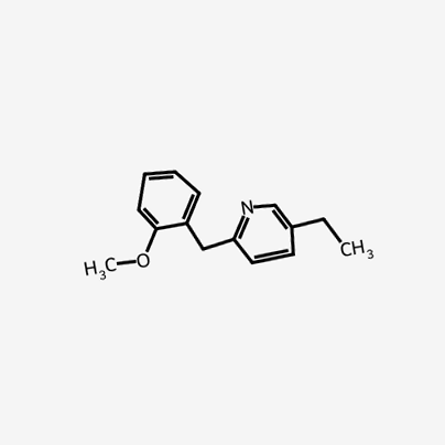 CCc1ccc(Cc2ccccc2OC)nc1